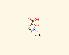 CCn1cccc(C(=O)O)c1=O